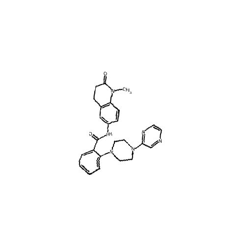 CN1C(=O)CCc2cc(NC(=O)c3ccccc3N3CCN(c4cnccn4)CC3)ccc21